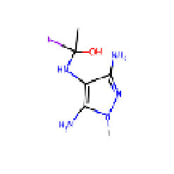 Cn1nc(N)c(NC(C)(O)I)c1N